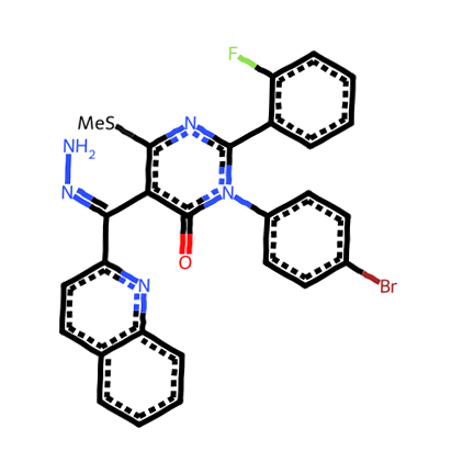 CSc1nc(-c2ccccc2F)n(-c2ccc(Br)cc2)c(=O)c1C(=NN)c1ccc2ccccc2n1